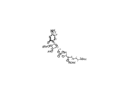 CCCCCCCCCCCCSCC(COP(=O)(O)OC[C@H]1O[C@@H](n2ccc(N)nc2=O)[C@H](OC)[C@@H]1O)OCCCCCCCCCC